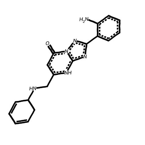 Nc1ccccc1-c1nc2[nH]c(CNC3C=CC=CC3)cc(=O)n2n1